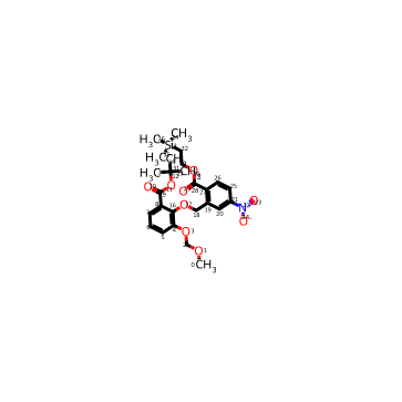 COCOc1cccc(C(=O)OC(C)(C)C)c1OCc1cc([N+](=O)[O-])ccc1C(=O)OCC[Si](C)(C)C